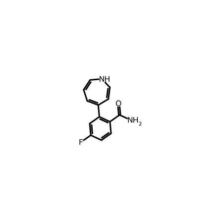 NC(=O)c1ccc(F)cc1C1=CC=CNC=C1